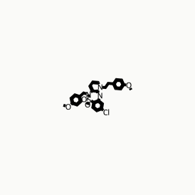 COc1ccc(CCN2C=CC=C3C2=Nc2cc(Cl)ccc2S(=O)(=O)N3Cc2ccc(OC)cc2)cc1